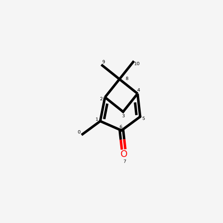 CC1=C2CC(=CC1=O)C2(C)C